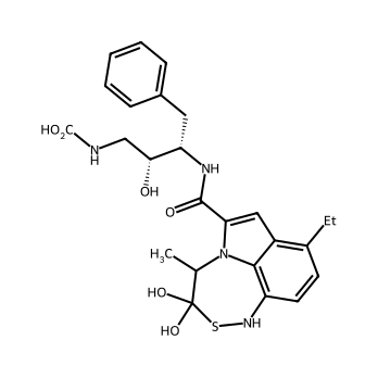 CCc1ccc2c3c1cc(C(=O)N[C@@H](Cc1ccccc1)[C@H](O)CNC(=O)O)n3C(C)C(O)(O)SN2